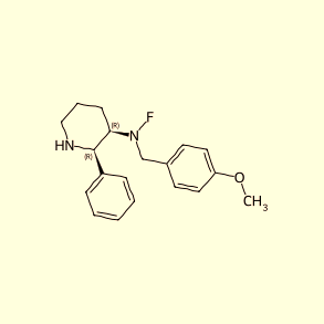 COc1ccc(CN(F)[C@@H]2CCCN[C@@H]2c2ccccc2)cc1